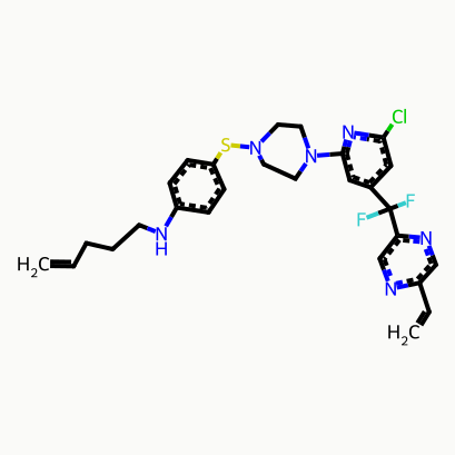 C=CCCCNc1ccc(SN2CCN(c3cc(C(F)(F)c4cnc(C=C)cn4)cc(Cl)n3)CC2)cc1